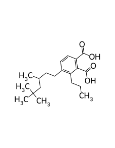 CCCc1c(CCC(C)CC(C)(C)C)ccc(C(=O)O)c1C(=O)O